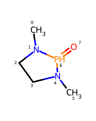 CN1CCN(C)[PH]1=O